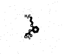 CCCCOc1ccccc1OC(=O)CC